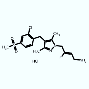 Cc1nn(C/C(F)=C/CN)c(C)c1Cc1ccc(S(C)(=O)=O)cc1Cl.Cl